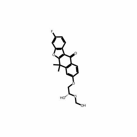 CC1(C)c2cc(OC[C@@H](O)OCO)ccc2C(=O)c2c1oc1cc(F)ccc21